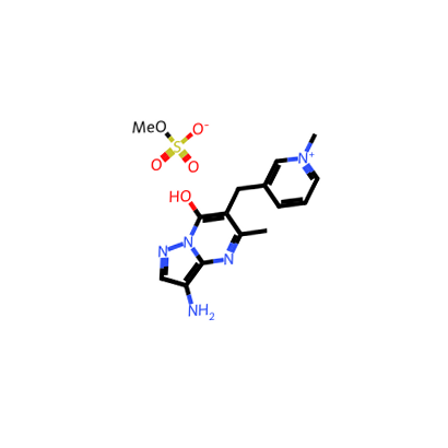 COS(=O)(=O)[O-].Cc1nc2c(N)cnn2c(O)c1Cc1ccc[n+](C)c1